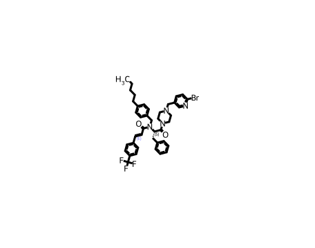 CCCCCc1ccc(CN(C(=O)/C=C/c2ccc(C(F)(F)F)cc2)[C@@H](Cc2ccccc2)C(=O)N2CCN(Cc3ccc(Br)nc3)CC2)cc1